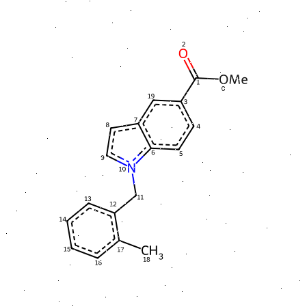 COC(=O)c1ccc2c(ccn2Cc2ccccc2C)c1